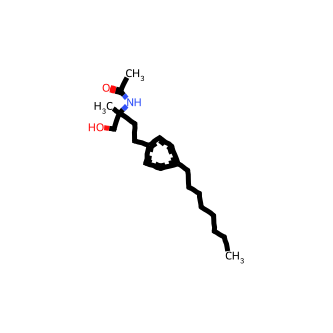 CCCCCCCCc1ccc(CCC(C)(CO)NC(C)=O)cc1